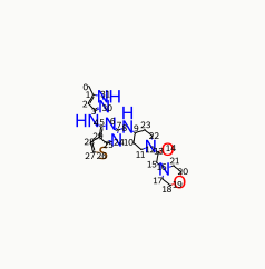 Cc1cc(Nc2nc(NC3CCN(C(=O)CN4CCOCC4)CC3)nc3sccc23)n[nH]1